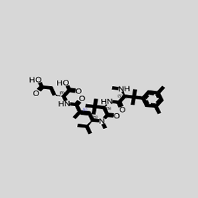 CN[C@H](C(=O)N[C@H](C(=O)N(C)[C@H](/C=C(\C)C(=O)N[C@H](CCC(=O)O)C(=O)O)C(C)C)C(C)(C)C)C(C)(C)c1cc(C)cc(C)c1